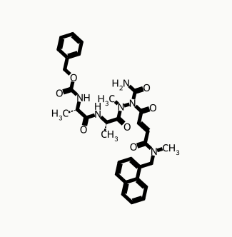 C[C@H](NC(=O)OCc1ccccc1)C(=O)N[C@@H](C)C(=O)N(C)N(C(N)=O)C(=O)/C=C/C(=O)N(C)Cc1cccc2ccccc12